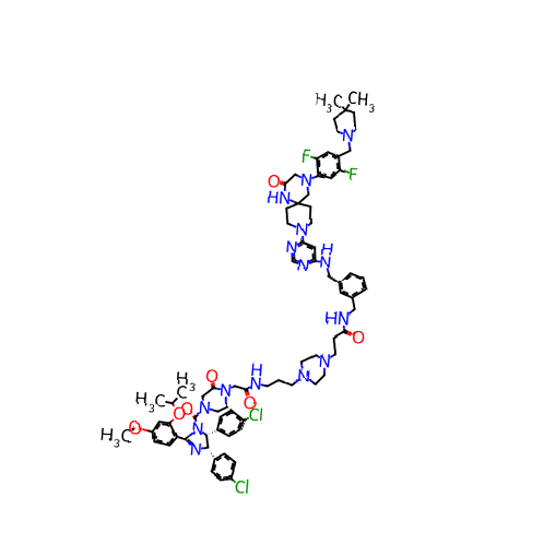 COc1ccc(C2=N[C@@H](c3ccc(Cl)cc3)[C@@H](c3ccc(Cl)cc3)N2C(=O)N2CCN(CC(=O)NCCCN3CCN(CCC(=O)NCc4cccc(CNc5cc(N6CCC7(CC6)CN(c6cc(F)c(CN8CCC(C)(C)CC8)cc6F)CC(=O)N7)ncn5)c4)CC3)C(=O)C2)c(OC(C)C)c1